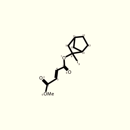 COC(=O)/C=C/C(=O)OC1(I)CC2CCC1C2